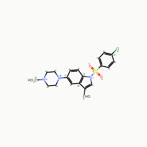 O=Cc1cn(S(=O)(=O)c2ccc(Cl)cc2)c2ccc(N3CCN(C(=O)O)CC3)cc12